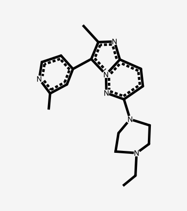 CCN1CCN(c2ccc3nc(C)c(-c4ccnc(C)c4)n3n2)CC1